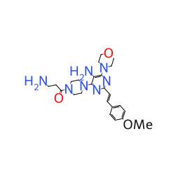 COc1ccc(C=Cc2nc(N3CCOCC3)c(N)c(N3CCN(C(=O)CCN)CC3)n2)cc1